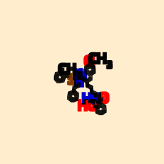 COc1ccc(CC(CCCCNC(=O)c2ccccc2O)c2nnc(SCc3ccccc3C)n2CCc2ccccc2)cc1